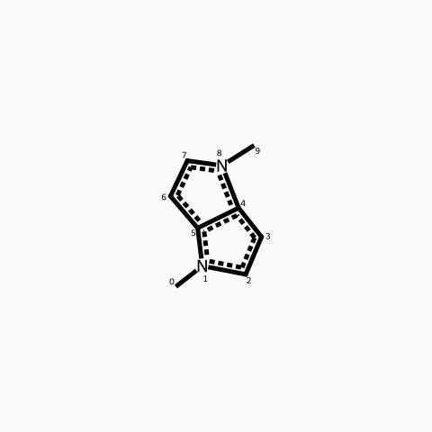 Cn1ccc2c1ccn2C